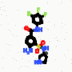 Nc1ccc(C(=O)Nc2cc(F)c(F)c(F)c2)cc1S(=O)(=O)N[C@H]1CCNC1